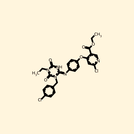 CCOC(=O)c1cnc(Cl)cc1Oc1ccc(/N=c2\[nH]c(=O)n(CC)c(=O)n2Cc2ccc(Cl)cc2)cc1